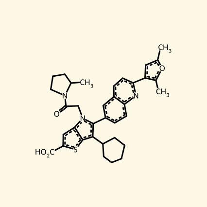 Cc1cc(-c2ccc3cc(-c4c(C5CCCCC5)c5sc(C(=O)O)cc5n4CC(=O)N4CCCC4C)ccc3n2)c(C)o1